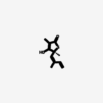 C=C/C(C)=C\[C@]1(C)SC(=O)C(C)=C1O